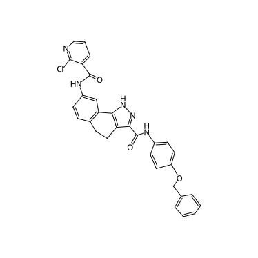 O=C(Nc1ccc2c(c1)-c1[nH]nc(C(=O)Nc3ccc(OCc4ccccc4)cc3)c1CC2)c1cccnc1Cl